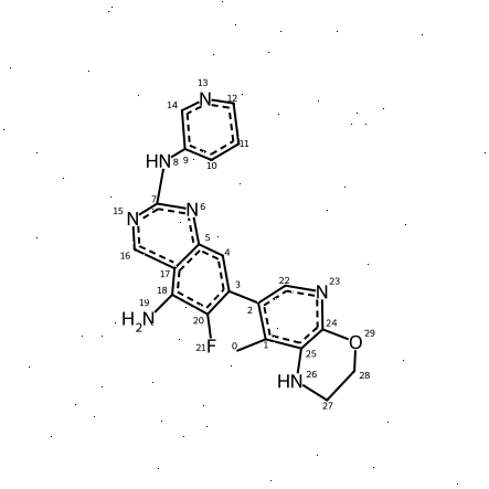 Cc1c(-c2cc3nc(Nc4cccnc4)ncc3c(N)c2F)cnc2c1NCCO2